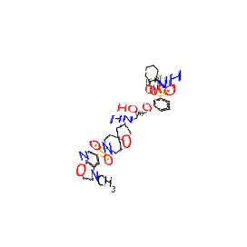 CN1CCOc2ncc(S(=O)(=O)N3CCC4(CC3)CC(NC[C@H](O)COc3cccc(S(=O)(=O)N[C@@H]5CCCC[C@@H]5O)c3)CO4)cc21